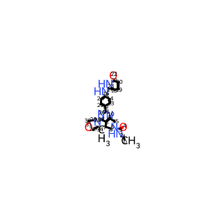 CCNC(=O)N1CCc2c(nc(-c3ccc(Nc4cccc(=O)[nH]4)cc3)nc2N2CCOCC2C)C1